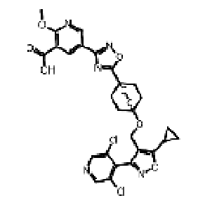 COc1ncc(-c2noc(C34CCC(OCc5c(-c6c(Cl)cncc6Cl)noc5C5CC5)(CC3)CC4)n2)cc1C(=O)O